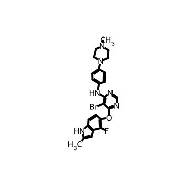 Cc1cc2c(F)c(Oc3ncnc(Nc4ccc(N5CCN(C)CC5)cc4)c3Br)ccc2[nH]1